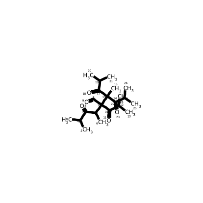 CC(C)C(=O)C(C)C([C]=O)(C(=O)C(C)C)C(C)(C(=O)C(C)C)C(=O)C(C)C